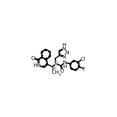 C[C@@H](c1c[nH]c(=O)c2ccccc12)N(Cc1c[nH]nn1)C(=O)Nc1ccc(F)c(Cl)c1